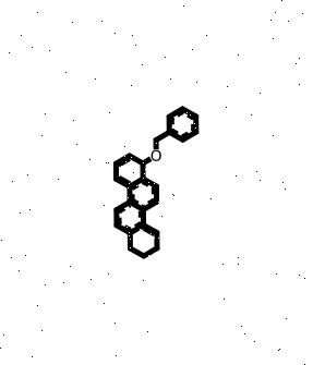 C1=CC(OCc2ccccc2)c2ccc3c4c(ccc3c2=C1)CCCC=4